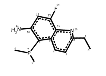 CCc1ccc2c(P(C)C)c(N)cc(F)c2n1